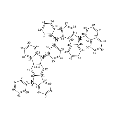 c1ccc(-n2c3ccccc3c3cc4c(cc32)c2ccccc2n4-c2cccc(-n3c4ccccc4c4ccc5c(c6ccccc6n5-c5cccc6ccccc56)c43)c2)cc1